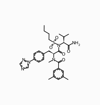 CCCCS(=O)(=O)N(C(=O)[C@H](Cc1ccc(-n2cncn2)cc1)N(C)C(=O)c1cc(C)cc(C)c1)[C@H](C(N)=O)C(C)C